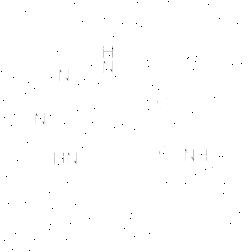 NCc1cccc(Nc2cc(NC3CCOC3)ncn2)c1